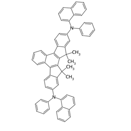 CC1(C)c2cc(N(c3ccccc3)c3cccc4ccccc34)ccc2-c2c1c1c(c3ccccc23)-c2ccc(N(c3ccccc3)c3cccc4ccccc34)cc2C1(C)C